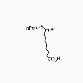 CCCCCSC(CCC)CCCCCCCC(=O)O